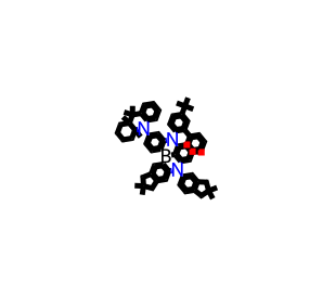 Cc1cc2c3c(c1)N(c1ccc(C(C)(C)C)cc1-c1ccccc1)c1cc(N4c5ccccc5C(C)(C)C5(C)CCCCC45C)ccc1B3c1cc3c(cc1N2c1ccc2c(c1)CC(C)(C)C2)CC(C)(C)C3